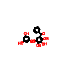 O=C(c1ccccc1)c1cc(O)c(O)c(O)c1O.Oc1cc(O)cc(O)c1